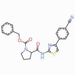 N#Cc1ccc(-c2csc(NC(=O)C3CCCN3C(=O)OCc3ccccc3)n2)cc1